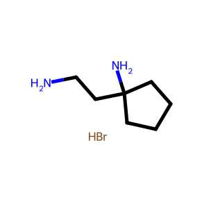 Br.NCCC1(N)CCCC1